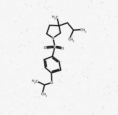 CC(C)CC1(C)CCN(S(=O)(=O)c2ccc(OC(C)C)cc2)C1